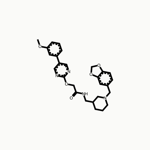 COc1cccc(-c2cnc(OCC(=O)NCC3CCCN(Cc4ccc5c(c4)OCO5)C3)nc2)c1